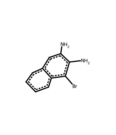 Nc1cc2ccccc2c(Br)c1N